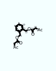 CC(=O)CC(=O)OCc1ccccc1COC(=O)CC(C)=O